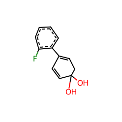 OC1(O)C=CC(c2ccccc2F)=CC1